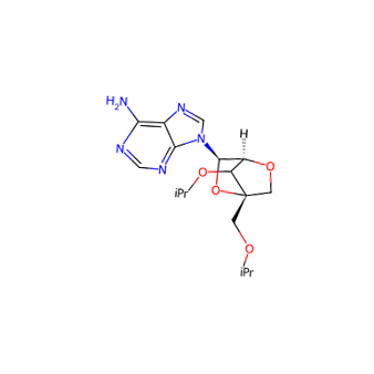 CC(C)OC[C@]12CO[C@@H](C1OC(C)C)[C@H](n1cnc3c(N)ncnc31)O2